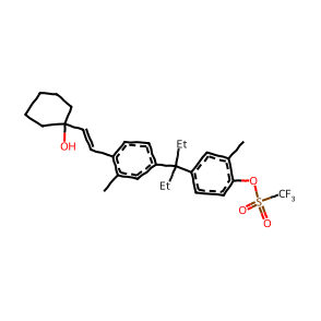 CCC(CC)(c1ccc(C=CC2(O)CCCCC2)c(C)c1)c1ccc(OS(=O)(=O)C(F)(F)F)c(C)c1